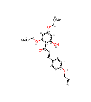 C=CCOc1ccc(/C=C/C(=O)c2c(O)cc(OCOC)cc2OCOC)cc1